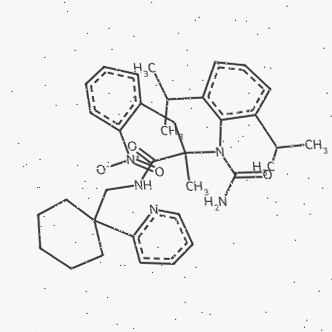 CC(C)c1cccc(C(C)C)c1N(C(N)=O)C(C)(Cc1ccccc1[N+](=O)[O-])C(=O)NCC1(c2ccccn2)CCCCC1